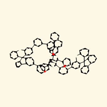 c1ccc(-c2nc(-c3ccccc3)nc(-c3cccc(-c4cccc(-c5ccc6c(c5)Oc5ccccc5C65c6ccccc6-c6cc(-c7cccc(-c8nc(-c9cccc(-c%10ccc%11c(c%10)Oc%10ccccc%10C%11%10c%11ccccc%11-c%11ccccc%11%10)c9)nc(-c9ccc%10c(ccc%11ccccc%11%10)c9)n8)c7)ccc65)c4)c3)n2)cc1